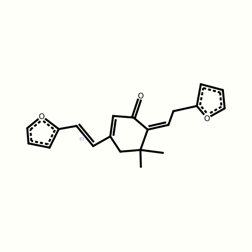 CC1(C)CC(/C=C/c2ccco2)=CC(=O)C1=CCc1ccco1